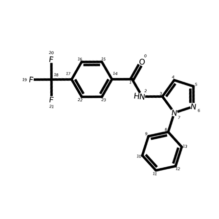 O=C(Nc1ccnn1-c1ccccc1)c1ccc(C(F)(F)F)cc1